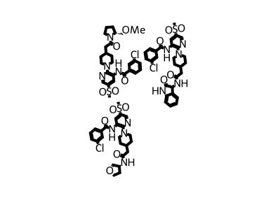 COC[C@H]1CCCN1C(=O)CC1CCN(c2ncc(S(C)(=O)=O)cc2NC(=O)c2cccc(Cl)c2)CC1.CS(=O)(=O)c1cnc(N2CCC(CC(=O)NC3C(=O)Nc4ccccc43)CC2)c(NC(=O)c2cccc(Cl)c2)c1.CS(=O)(=O)c1cnc(N2CCC(CC(=O)N[C@@H]3CCOC3)CC2)c(NC(=O)c2cccc(Cl)c2)c1